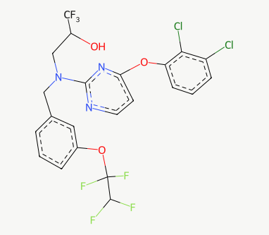 OC(CN(Cc1cccc(OC(F)(F)C(F)F)c1)c1nccc(Oc2cccc(Cl)c2Cl)n1)C(F)(F)F